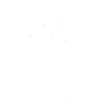 COc1cc(COC2COc3ccccc3C2N2CCNCC2)cc(OC)c1